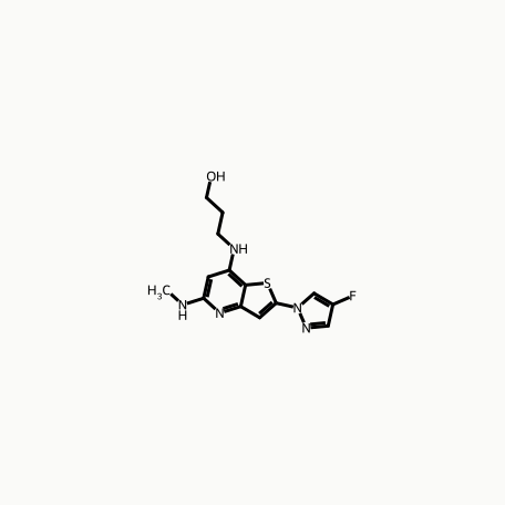 CNc1cc(NCCCO)c2sc(-n3cc(F)cn3)cc2n1